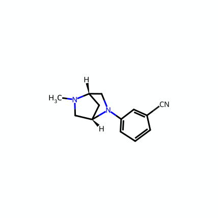 CN1C[C@@H]2C[C@H]1CN2c1cccc(C#N)c1